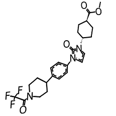 COC(=O)[C@H]1CC[C@H](n2ccn(-c3ccc(C4CCN(C(=O)C(F)(F)F)CC4)cc3)c2=O)CC1